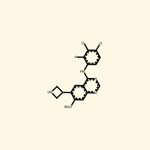 COc1cc2ncnc(Nc3ccc(Cl)c(Cl)c3F)c2cc1C1CNC1